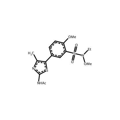 CCN(OC)S(=O)(=O)c1cc(-c2sc(NC(C)=O)nc2C)ccc1OC